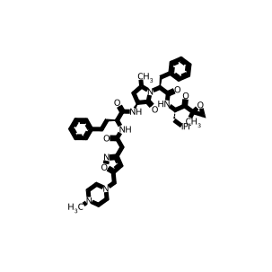 CC(C)C[C@H](NC(=O)[C@H](Cc1ccccc1)N1C(=O)[C@@H](NC(=O)[C@H](CCc2ccccc2)NC(=O)Cc2cc(CN3CCN(C)CC3)on2)CC1C)C(=O)C1(C)CO1